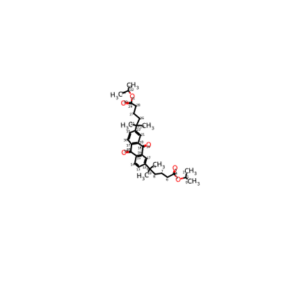 CC(C)OC(=O)CCCC(C)(C)c1ccc2c(c1)C(=O)c1cc(C(C)(C)CCCC(=O)OC(C)C)ccc1C2=O